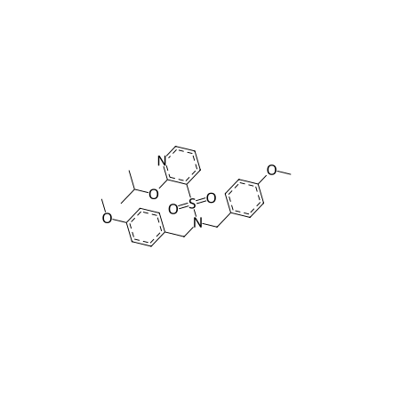 COc1ccc(CN(Cc2ccc(OC)cc2)S(=O)(=O)c2cccnc2OC(C)C)cc1